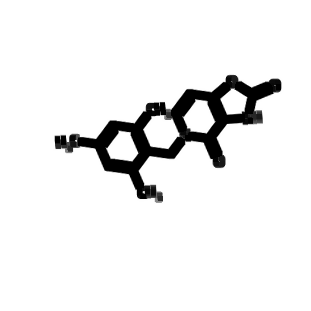 Cc1cc(C)c(Cn2ccc3oc(=O)[nH]c3c2=O)c(C)c1